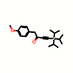 COc1ccc(CC(=O)C#C[Si](C(C)C)(C(C)C)C(C)C)cc1